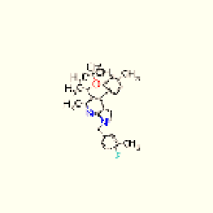 Cc1ccc(-c2c(C(C)OC(C)(C)C)c(C)nc3c2ccn3Cc2ccc(F)c(C)c2)cc1